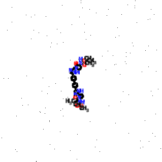 COC(=O)NC(C(=O)N1CCC[C@@H]1c1ncc(-c2ccc(-c3ccc(-c4cnc(CN5CCCC(NC(=O)OC(C)(C)C)C5=O)[nH]4)cc3)cc2)[nH]1)C(C)C